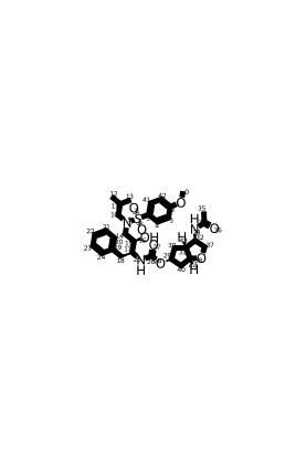 COc1ccc(S(=O)(=O)N(CC(C)C)C[C@@H](O)[C@H](Cc2ccccc2)NC(=O)O[C@@H]2C[C@@H]3[C@@H](NC(C)=O)CO[C@@H]3C2)cc1